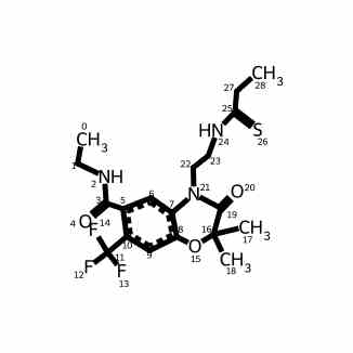 CCNC(=O)c1cc2c(cc1C(F)(F)F)OC(C)(C)C(=O)N2CCNC(=S)CC